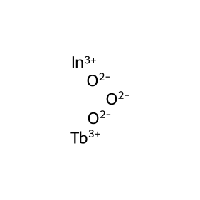 [In+3].[O-2].[O-2].[O-2].[Tb+3]